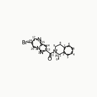 C[C@@H]1c2ccccc2CCN1C(=O)c1cc2ncc(Br)cn2n1